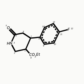 CCOC(=O)C1CNC(=O)CC1c1ccc(F)cc1